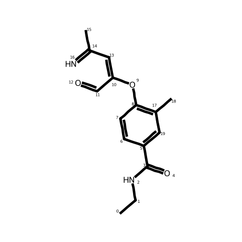 CCNC(=O)c1ccc(O/C(C=O)=C/C(C)=N)c(C)c1